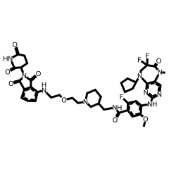 COc1cc(C(=O)NCC2CCCN(CCOCCNc3cccc4c3C(=O)N(C3CCC(=O)NC3=O)C4=O)C2)c(F)cc1Nc1ncc2c(n1)N(C1CCCC1)CC(F)(F)C(=O)N2C